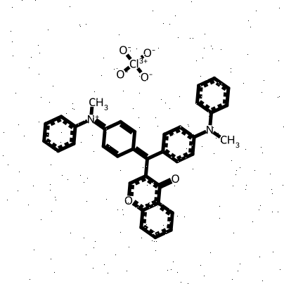 CN(c1ccccc1)c1ccc(C(=C2C=CC(=[N+](C)c3ccccc3)C=C2)c2coc3ccccc3c2=O)cc1.[O-][Cl+3]([O-])([O-])[O-]